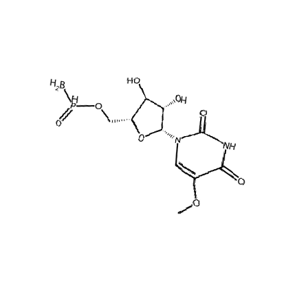 B[PH](=O)OC[C@H]1O[C@@H](n2cc(OC)c(=O)[nH]c2=O)[C@@H](O)C1O